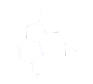 CSc1ccc2cc(C=O)n(CC3CC3)c2n1